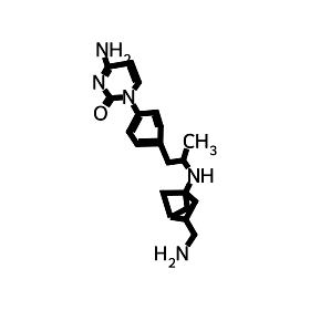 CC(Cc1ccc(-n2ccc(N)nc2=O)cc1)NC12CC(CN)C(C1)C2